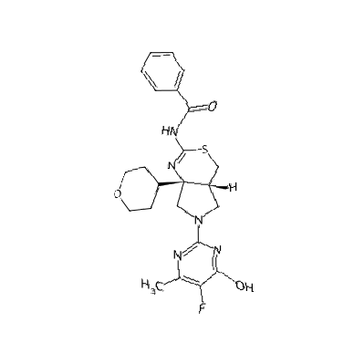 Cc1nc(N2C[C@H]3CSC(NC(=O)c4ccccc4)=N[C@@]3(C3CCOCC3)C2)nc(O)c1F